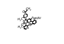 C=CC(=O)N1CCN(c2nc(=O)n(-c3c(C)ccnc3C(C)C)c3nc(-c4c(F)cccc4NC(C)=O)c(F)cc23)C(C)C1